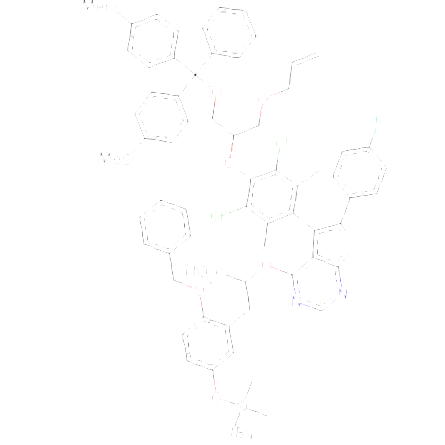 C=CCOCC(COC(c1ccccc1)(c1ccc(OC)cc1)c1ccc(OC)cc1)Oc1c(Cl)c(C)c(-c2c(-c3ccc(F)cc3)sc3ncnc(OC(Cc4cc(O[Si](C)(C)C(C)(C)C)ccc4OCc4ccccc4)C(=O)O)c23)c(C)c1Cl